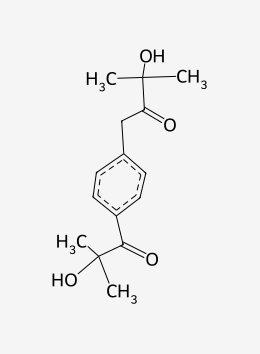 CC(C)(O)C(=O)Cc1ccc(C(=O)C(C)(C)O)cc1